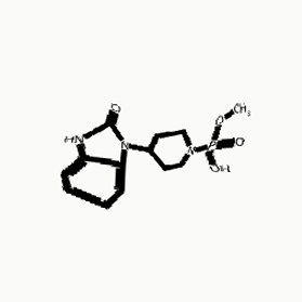 COP(=O)(O)N1CCC(n2c(=O)[nH]c3ccccc32)CC1